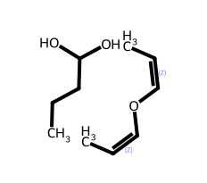 C/C=C\O/C=C\C.CCCC(O)O